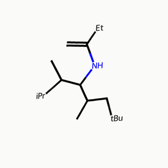 C=C(CC)NC(C(C)CC(C)(C)C)C(C)C(C)C